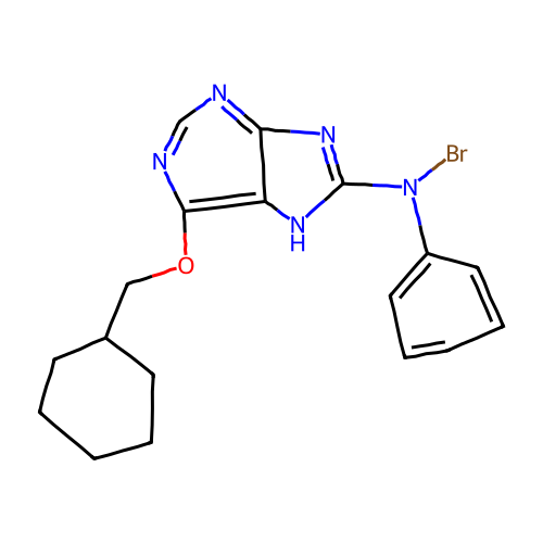 BrN(c1ccccc1)c1nc2ncnc(OCC3CCCCC3)c2[nH]1